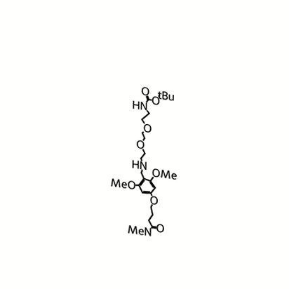 CNC(=O)CCCOc1cc(OC)c(CNCCOCCOCCNC(=O)OC(C)(C)C)c(OC)c1